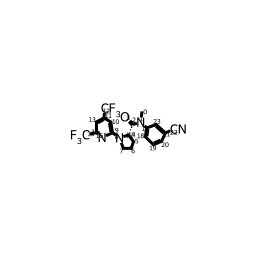 CN(C(=O)[C@@H]1CCCN1c1cc(C(F)(F)F)cc(C(F)(F)F)n1)c1cccc(C#N)c1